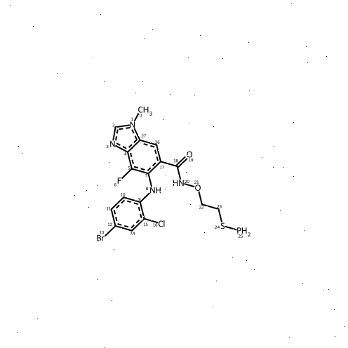 Cn1cnc2c(F)c(Nc3ccc(Br)cc3Cl)c(C(=O)NOCCSP)cc21